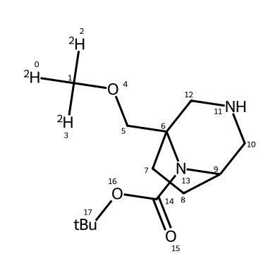 [2H]C([2H])([2H])OCC12CCC(CNC1)N2C(=O)OC(C)(C)C